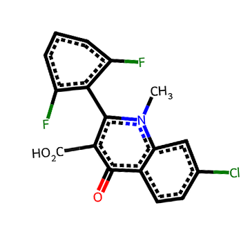 Cn1c(-c2c(F)cccc2F)c(C(=O)O)c(=O)c2ccc(Cl)cc21